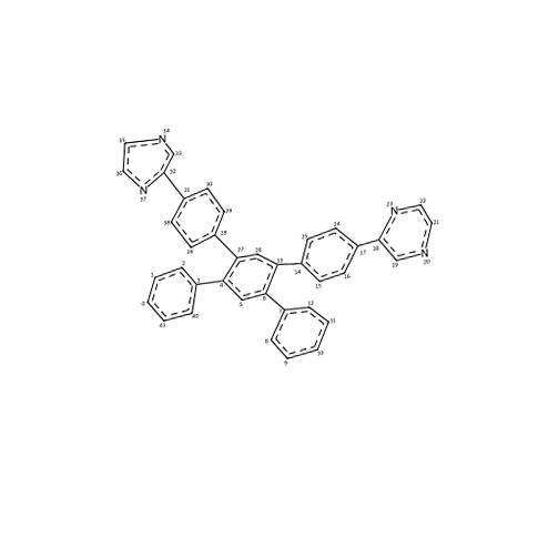 c1ccc(-c2cc(-c3ccccc3)c(-c3ccc(-c4cnccn4)cc3)cc2-c2ccc(-c3cnccn3)cc2)cc1